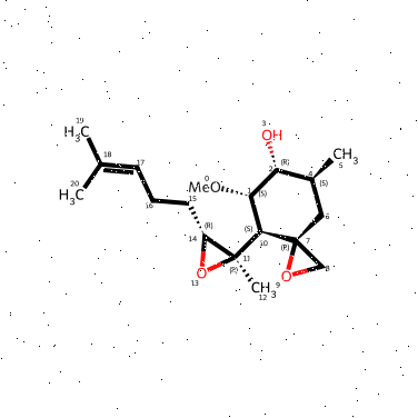 CO[C@@H]1[C@H](O)[C@@H](C)C[C@]2(CO2)[C@H]1[C@@]1(C)O[C@@H]1CCC=C(C)C